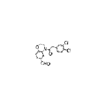 O=Cc1ccc2c(c1)N(C(=O)Cc1ccc(Cl)c(Cl)c1)CCO2